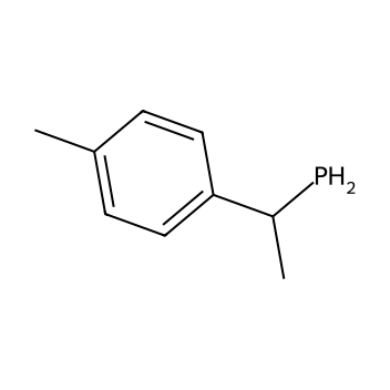 Cc1ccc(C(C)P)cc1